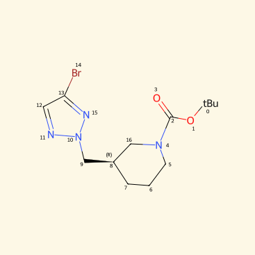 CC(C)(C)OC(=O)N1CCC[C@@H](Cn2ncc(Br)n2)C1